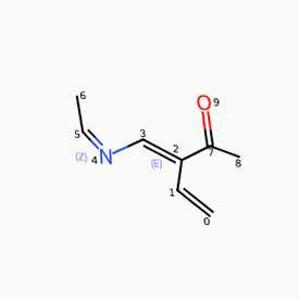 C=C/C(=C\N=C/C)C(C)=O